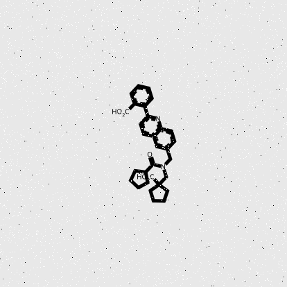 O=C(O)c1ccccc1-c1ccc2cc(CN(CC3(C(=O)O)CCCC3)C(=O)C3CCCC3)ccc2n1